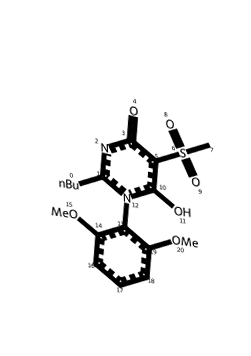 CCCCc1nc(=O)c(S(C)(=O)=O)c(O)n1-c1c(OC)cccc1OC